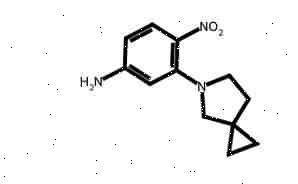 Nc1ccc([N+](=O)[O-])c(N2CCC3(CC3)C2)c1